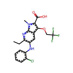 CCc1nc2c(cc1Nc1ccccc1Cl)c(OCC(F)(F)F)c(C(=O)O)n2C